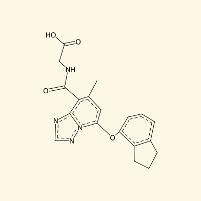 Cc1cc(Oc2cccc3c2CCC3)n2ncnc2c1C(=O)NCC(=O)O